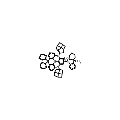 CC12CCCCC1(C)N(c1cc3c4c(c1)N(C15CC6CC7CC(C1)C765)c1cccc5c1B4c1c(cccc1C5(c1ccccc1)c1ccccc1)N3C13CC4CC5CC(C1)C54C3)c1ccccc12